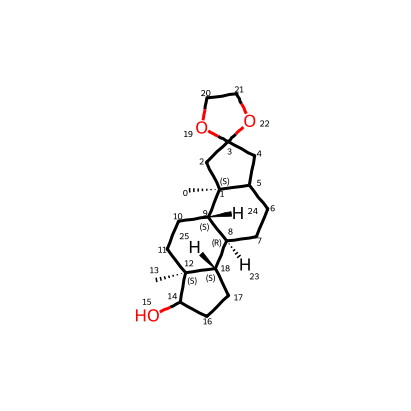 C[C@]12CC3(CC1CC[C@@H]1[C@@H]2CC[C@]2(C)C(O)CC[C@@H]12)OCCO3